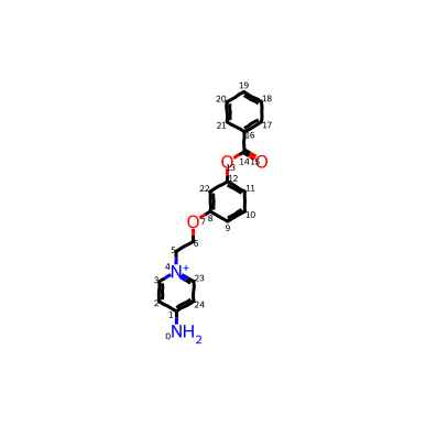 Nc1cc[n+](CCOc2cccc(OC(=O)c3ccccc3)c2)cc1